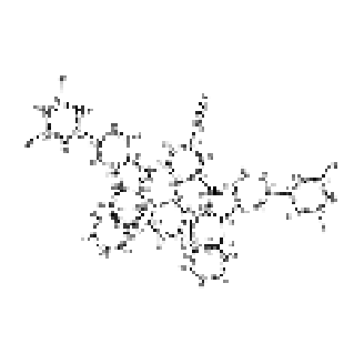 Cc1nc(C)nc(-c2ccc3c(c2)c2ccccc2n3-c2cc(C#N)cc(-n3c4ccccc4c4cc(-c5nc(C)nc(C)n5)ccc43)c2-c2cc(-c3ccccc3)nc(-c3ccccc3)c2)n1